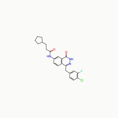 O=C(CCC1CCCC1)Nc1ccc2c(Cc3ccc(Cl)c(F)c3)n[nH]c(=O)c2c1